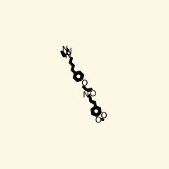 C(=C\c1nc(COc2ccc(CCCCn3ccnn3)cc2)co1)/c1ccc2c(c1)OCO2